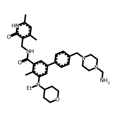 CCN(c1cc(-c2ccc(CN3CCN(CN)CC3)cc2)cc(C(=O)NCc2c(C)cc(C)[nH]c2=O)c1C)C1CCOCC1